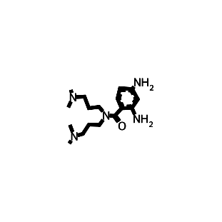 CN(C)CCCN(CCCN(C)C)C(=O)c1ccc(N)cc1N